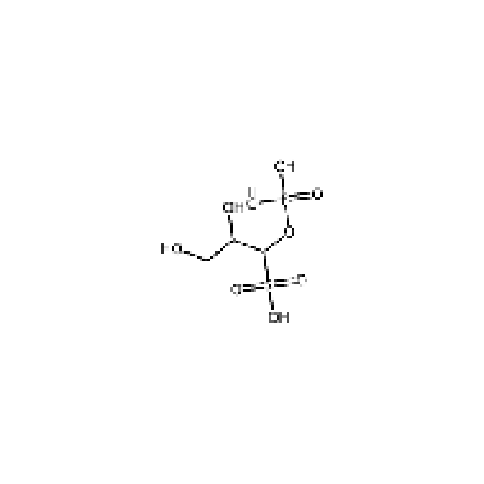 O=P(O)(O)OC(C(O)CO)S(=O)(=O)O